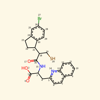 O=C(O)C(Cc1ccc2ccccc2n1)NC(=O)C(CS)C1CCc2cc(Br)ccc21